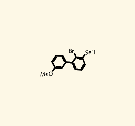 COc1cccc(-c2cccc([SeH])c2Br)c1